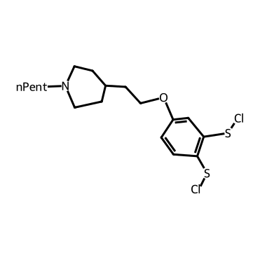 CCCCCN1CCC(CCOc2ccc(SCl)c(SCl)c2)CC1